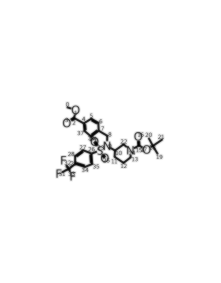 COC(=O)c1ccc(CN(C2CCCN(C(=O)OC(C)(C)C)C2)S(=O)(=O)c2ccc(C(F)(F)F)cc2)cc1